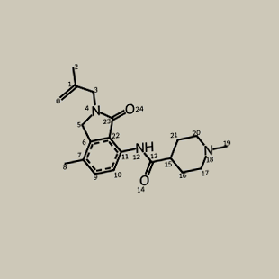 C=C(C)CN1Cc2c(C)ccc(NC(=O)C3CCN(C)CC3)c2C1=O